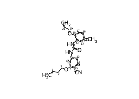 C=CCCOc1nc(NC(=O)Nc2cc(C)ccc2OCC=C)cnc1C#N